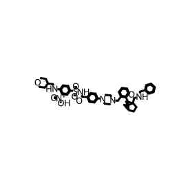 CC1(C)C2C=C(c3ccccc3CN3CCN(c4ccc(C(=O)NS(=O)(=O)c5ccc(NCC6CCOCC6)c([N+](=O)O)c5)cc4)CC3)C1(C(=O)NCc1ccccc1)CC2